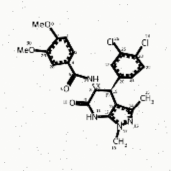 COc1ccc(C(=O)N[C@H]2C(=O)Nc3c(c(C)nn3C)[C@@H]2c2ccc(Cl)c(Cl)c2)cc1OC